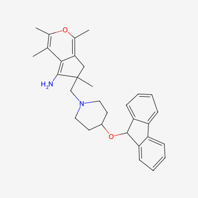 CC1=C(C)C2=C(N)C(C)(CN3CCC(OC4c5ccccc5-c5ccccc54)CC3)CC2=C(C)O1